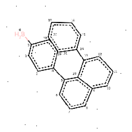 Bc1ccc(-c2cccc3cccc(-c4ccccc4)c23)cc1